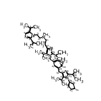 CC(C)c1cnc(C(C)C)n1CCN(C)CCc1nc(C(C)C)n(Cc2cncc(Cc3nc(C(C)C)n(C4CCCC4)c3C(C)C)c2)c1C(C)C